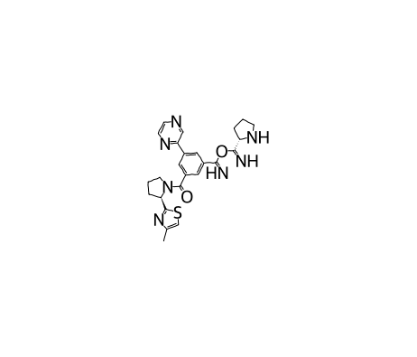 Cc1csc([C@H]2CCCN2C(=O)c2cc(C(=N)OC(=N)[C@@H]3CCCN3)cc(-c3cnccn3)c2)n1